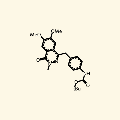 COc1cc2c(Cc3ccc(NC(=O)OC(C)(C)C)cc3)nn(C)c(=O)c2cc1OC